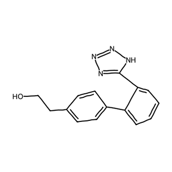 OCCc1ccc(-c2ccccc2-c2nnn[nH]2)cc1